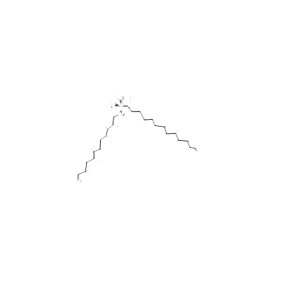 CCCCCCCCCCCCC[PH](O)(O)OCCCCCCCCCCCC